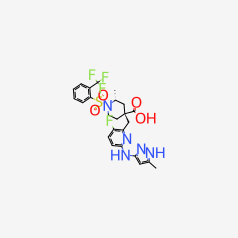 Cc1cc(Nc2ccc(F)c(C[C@@]3(C(=O)O)CCN(S(=O)(=O)c4ccccc4C(F)(F)F)[C@H](C)C3)n2)n[nH]1